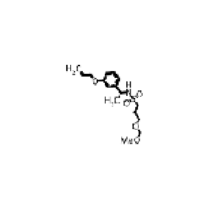 C=CCOc1cccc([C@@H](C)NS(=O)(=O)CCCOCOC)c1